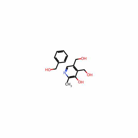 Cc1ncc(CO)c(CO)c1O.OCc1ccccc1